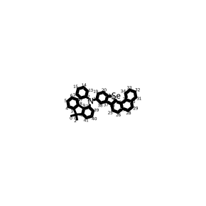 CC1(C)c2ccccc2-c2c(N(c3ccccc3)c3ccc4[se]c5c(ccc6ccc7ccccc7c65)c4c3)cccc21